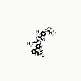 CCCc1nc(C)c(-c2ccc(OC(C)(C)C)cc2)c(=O)n1Cc1ccc(-c2ccccc2-c2noc(=O)[nH]2)cc1F